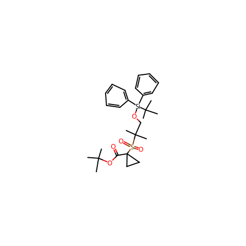 CC(C)(C)OC(=O)C1(S(=O)(=O)C(C)(C)CO[Si](c2ccccc2)(c2ccccc2)C(C)(C)C)CC1